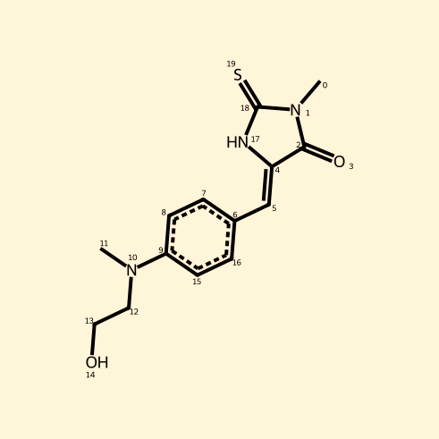 CN1C(=O)/C(=C/c2ccc(N(C)CCO)cc2)NC1=S